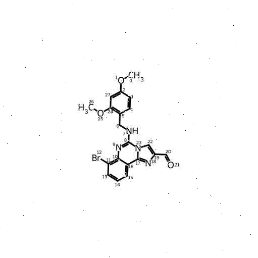 COc1ccc(CNc2nc3c(Br)cccc3c3nc(C=O)cn23)c(OC)c1